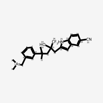 C[As](C)Cc1cccc(C(C)(C)CC(O)(Cc2cc3cc(C#N)ccc3[nH]2)C(F)(F)F)c1